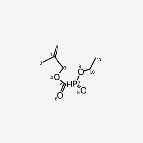 C=C(C)COC(=O)[PH](=O)OCC